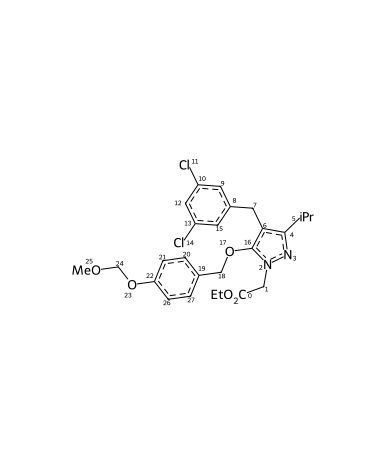 CCOC(=O)Cn1nc(C(C)C)c(Cc2cc(Cl)cc(Cl)c2)c1OCc1ccc(OCOC)cc1